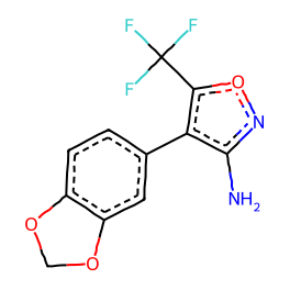 Nc1noc(C(F)(F)F)c1-c1ccc2c(c1)OCO2